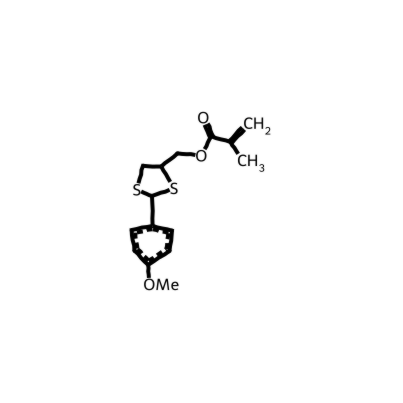 C=C(C)C(=O)OCC1CSC(c2ccc(OC)cc2)S1